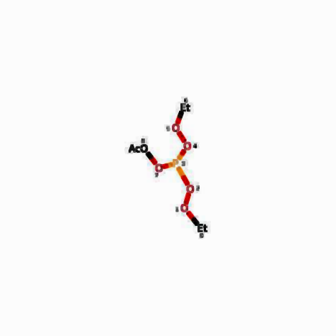 CCOOP(OOCC)OOC(C)=O